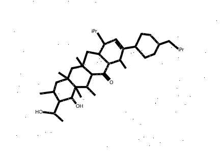 CC(C)CC1CCC(C2=CC(C(C)C)C3CC4(C)CC5(C)CC(C)C(C(C)O)C(O)C5(C)C(C)C4C(=O)C3C2C)CC1